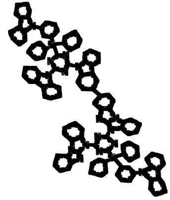 c1ccc([Si](c2ccccc2)(c2cccc(-n3c4ccccc4c4ccccc43)c2)c2nc(-n3c4ccccc4c4ccccc43)nc(-n3c4ccccc4c4cc(-c5ccc6c(c5)nc5n(-c7nc(-n8c9ccccc9n9c%10ccccc%10nc89)nc([Si](c8ccccc8)(c8ccccc8)c8cccc(-n9c%10ccccc%10c%10ccccc%109)c8)n7)c7ccccc7n65)ccc43)n2)cc1